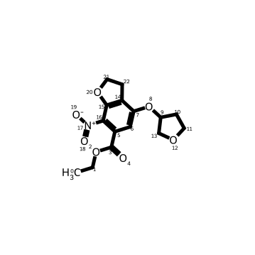 CCOC(=O)c1cc(OC2CCOC2)c2c(c1[N+](=O)[O-])OCC2